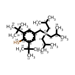 CC(C)C[Si](Cc1cc(C(C)(C)C)c(S)c(C(C)(C)C)c1)(CC(C)C)CC(C)C